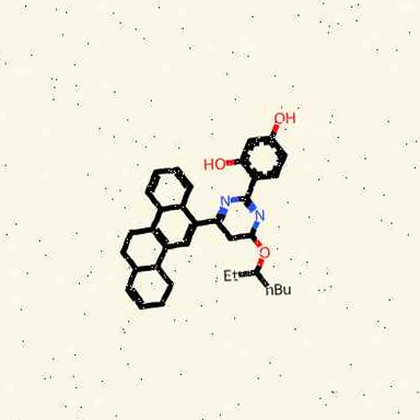 CCCCC(CC)OC1CC(C2=CC3=C(CCC4C=CCCC34)C3C=CC=CC23)=NC(c2ccc(O)cc2O)=N1